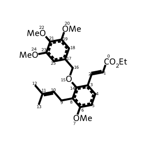 CCOC(=O)/C=C/c1ccc(OC)c(CC=C(C)C)c1OCc1cc(OC)c(OC)c(OC)c1